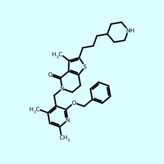 Cc1cc(C)c(CN2CCc3sc(CCCC4CCNCC4)c(C)c3C2=O)c(OCc2ccccc2)n1